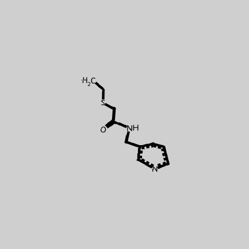 [CH2]CSCC(=O)NCc1cccnc1